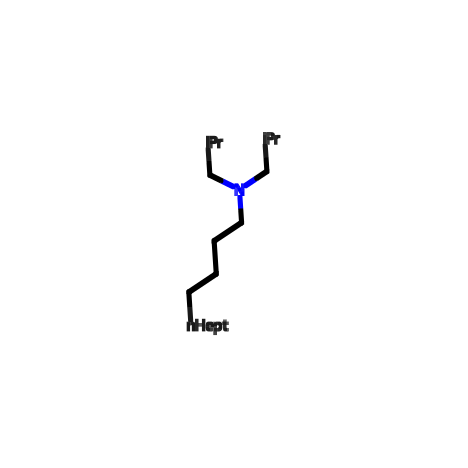 CCCCCCCCCCCN(CC(C)C)CC(C)C